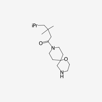 CC(C)CC(C)(C)CC(=O)N1CCC2(CC1)CNCCO2